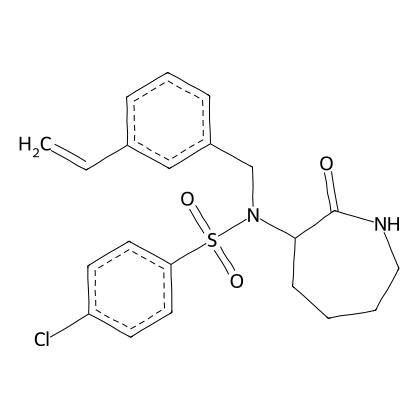 C=Cc1cccc(CN(C2CCCCNC2=O)S(=O)(=O)c2ccc(Cl)cc2)c1